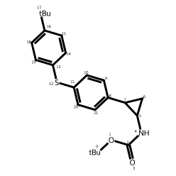 CC(C)(C)OC(=O)NC1CC1c1ccc(Sc2ccc(C(C)(C)C)cc2)cc1